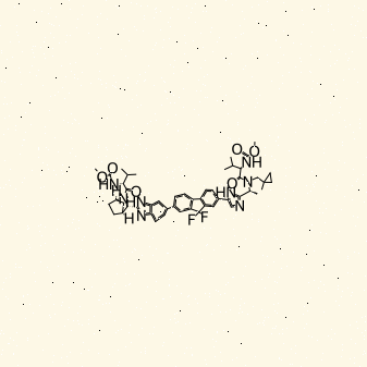 COC(=O)N[C@@H](C(=O)N(CC1(C)CC1)[C@@H](C)c1ncc(-c2ccc3c(c2)C(F)(F)c2cc(-c4ccc5nc([C@@H]6[C@H]7CC[C@H](C7)N6C(=O)[C@H](NC(=O)OC)C(C)C)[nH]c5c4)ccc2-3)[nH]1)C(C)C